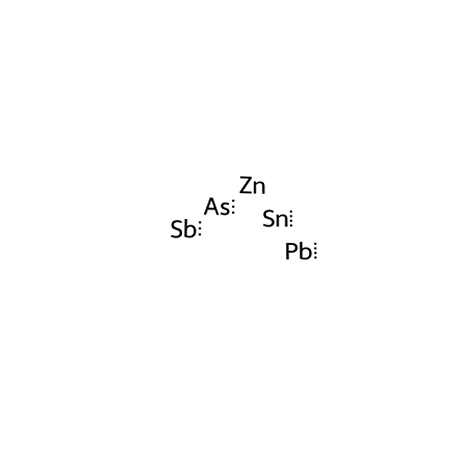 [As].[Pb].[Sb].[Sn].[Zn]